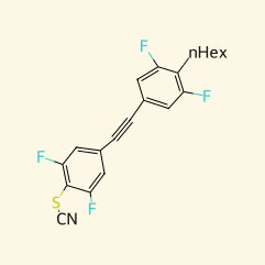 CCCCCCc1c(F)cc(C#Cc2cc(F)c(SC#N)c(F)c2)cc1F